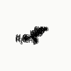 COCn1c(CCCO[Si](C(C)C)(C(C)C)C(C)C)nc(-c2ccc3ccoc3c2)c1-c1ccnc(Nc2cc([N+](=O)[O-])c(N3CCCN(C4CCCC4)CC3)cc2OC)n1